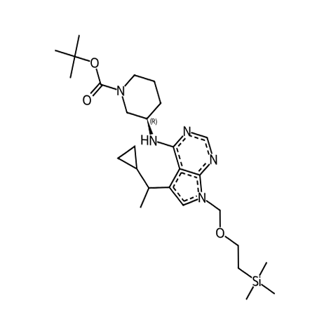 CC(c1cn(COCC[Si](C)(C)C)c2ncnc(N[C@@H]3CCCN(C(=O)OC(C)(C)C)C3)c12)C1CC1